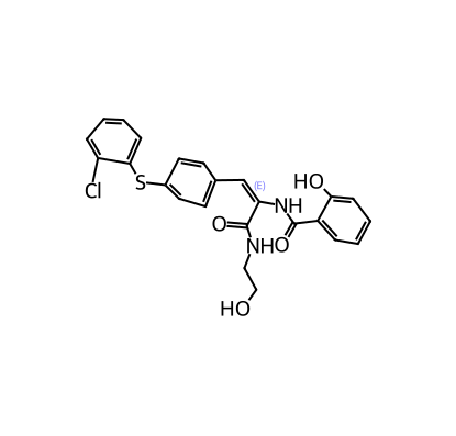 O=C(NCCO)/C(=C\c1ccc(Sc2ccccc2Cl)cc1)NC(=O)c1ccccc1O